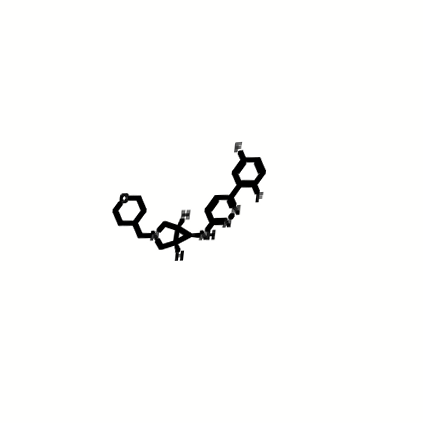 Fc1ccc(F)c(-c2ccc(N[C@H]3[C@@H]4CN(CC5CCOCC5)C[C@@H]43)nn2)c1